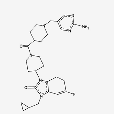 Nc1ncc(CN2CCC(C(=O)N3CCC(n4c5c(n(CC6CC6)c4=O)C=C(F)CC5)CC3)CC2)cn1